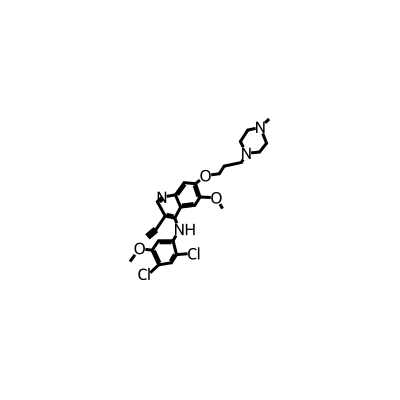 C#Cc1cnc2cc(OCCCN3CCN(C)CC3)c(OC)cc2c1Nc1cc(OC)c(Cl)cc1Cl